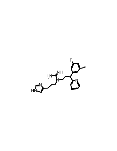 N=C(N)N(CCCc1c[nH]cn1)CCC(c1cc(F)cc(F)c1)c1ccccn1